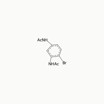 CC(=O)Nc1ccc(Br)c(NC(C)=O)c1